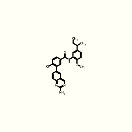 CCC(C)c1ccc(OC)c(NC(=O)c2ccc(Cl)c(-c3ccc4nc(N)ncc4c3)c2)c1